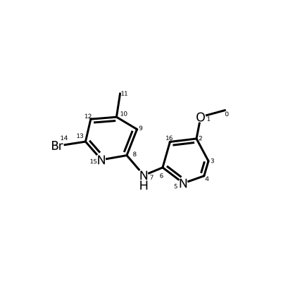 COc1ccnc(Nc2cc(C)cc(Br)n2)c1